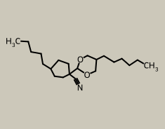 CCCCCCC1COC(C2(C#N)CCC(CCCCC)CC2)OC1